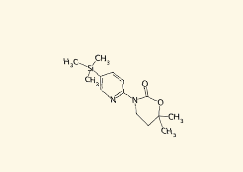 CC1(C)CCN(c2ccc([Si](C)(C)C)cn2)C(=O)O1